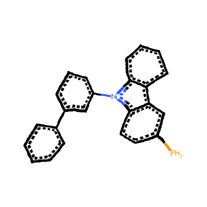 Pc1ccc2c(c1)c1ccccc1n2-c1cccc(-c2ccccc2)c1